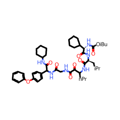 CCCC(NC(=O)[C@H](CC(C)C)NC(=O)[C@@H](NC(=O)OCC(C)C)C1CCCCC1)C(=O)C(=O)NCC(=O)NC(C(=O)NC1CCCCC1)c1ccc(Oc2ccccc2)cc1